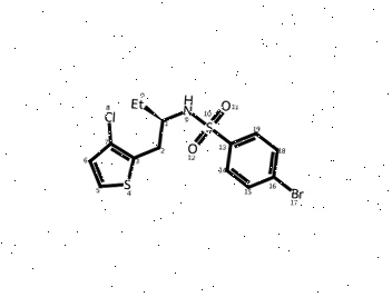 CC[C@H](Cc1sccc1Cl)NS(=O)(=O)c1ccc(Br)cc1